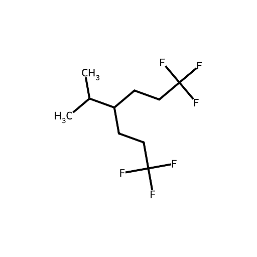 CC(C)C(CCC(F)(F)F)CCC(F)(F)F